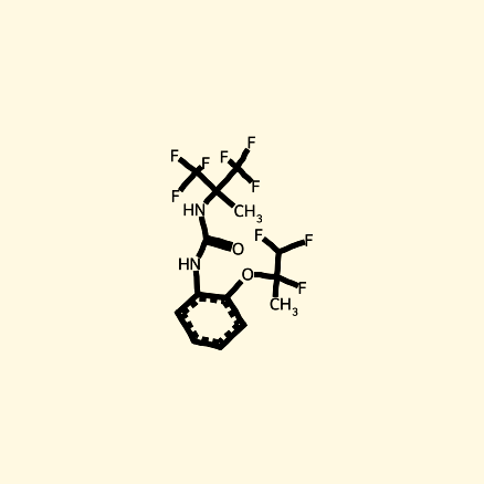 CC(F)(Oc1ccccc1NC(=O)NC(C)(C(F)(F)F)C(F)(F)F)C(F)F